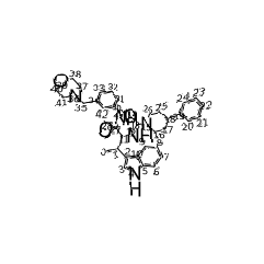 C[C@H](c1c[nH]c2ccccc12)[C@@H](NC(=O)N1CCC(c2ccccc2)CC1)C(=O)Nc1cccc(CN2CCOCC2)c1